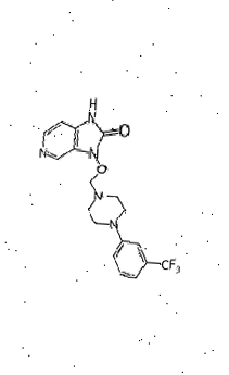 O=c1[nH]c2ccncc2n1OCN1CCN(c2cccc(C(F)(F)F)c2)CC1